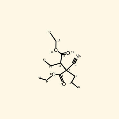 CCCC(C#N)(C(=O)OCC)C(CC)C(=O)OCC